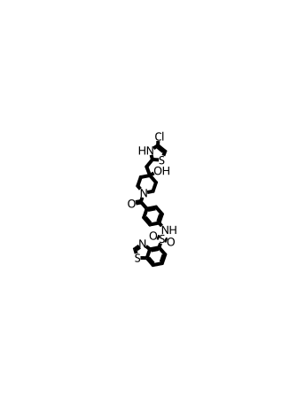 O=C(c1ccc(NS(=O)(=O)c2cccc3scnc23)cc1)N1CCC(O)(CC2NC(Cl)=CS2)CC1